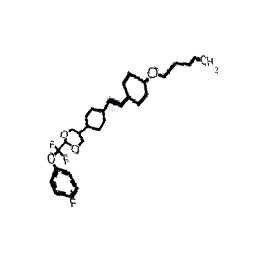 C=CCCCOC1CCC(/C=C/C2CCC(C3COC(C(F)(F)Oc4ccc(F)cc4)OC3)CC2)CC1